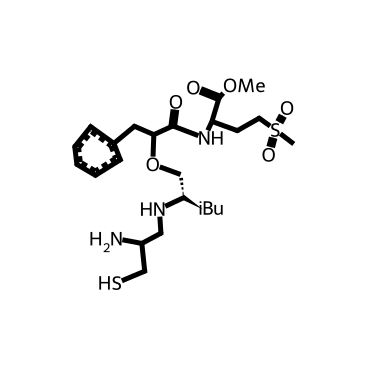 CC[C@H](C)[C@@H](COC(Cc1ccccc1)C(=O)NC(CCS(C)(=O)=O)C(=O)OC)NCC(N)CS